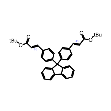 CC(C)(C)OC(=O)/C=C/c1ccc(C2(c3ccc(/C=C/C(=O)OC(C)(C)C)cc3)c3ccccc3-c3ccccc32)cc1